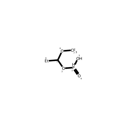 CCC(O[PH](=O)O)OC(F)(F)F